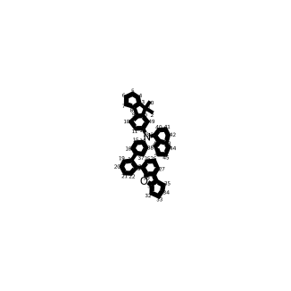 CC1(C)c2ccccc2-c2ccc(N(c3ccc(-c4ccccc4-c4cccc5c4oc4ccccc45)cc3)c3cccc4ccccc34)cc21